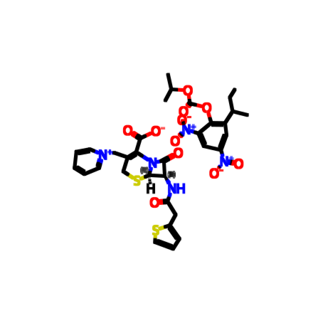 CCC(C)c1cc([N+](=O)[O-])cc([N+](=O)[O-])c1OC(=O)OC(C)C.O=C(Cc1cccs1)N[C@@H]1C(=O)N2C(C(=O)[O-])=C(C[n+]3ccccc3)CS[C@H]12